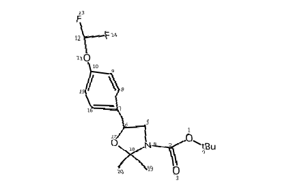 CC(C)(C)OC(=O)N1CC(c2ccc(OC(F)F)cc2)OC1(C)C